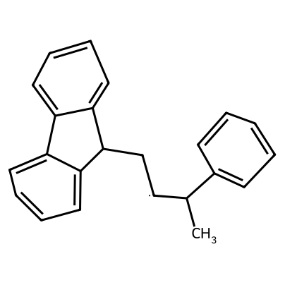 CC([CH]CC1c2ccccc2-c2ccccc21)c1ccccc1